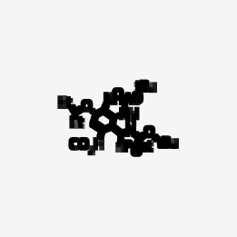 CCCCCC(NC(=O)OC(C)(C)C)C1C(C(=O)O)=C[C@@H](OC(CC)CC)C(NC(C)=O)[C@H]1NC(=O)OC(C)(C)C